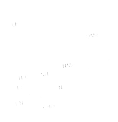 CN/C(Cc1cccc(OC)c1)=N\C(NC(C)c1ccc(C(F)(F)F)cc1)=C(/C=O)C(C)=N